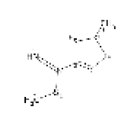 CSC(=N)C1=CCC(C)S1